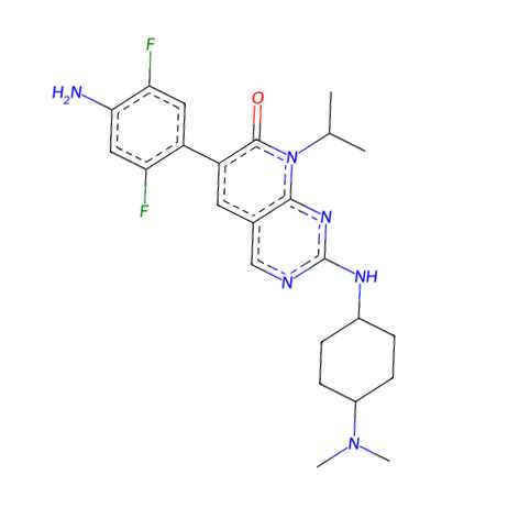 CC(C)n1c(=O)c(-c2cc(F)c(N)cc2F)cc2cnc(NC3CCC(N(C)C)CC3)nc21